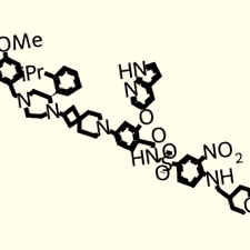 COc1ccc(CN2CCN(C3CC4(CCN(c5ccc(C(=O)NS(=O)(=O)c6ccc(NCC7CCOCC7)c([N+](=O)[O-])c6)c(Oc6cnc7[nH]ccc7c6)c5)CC4)C3)[C@@H](c3ccccc3C(C)C)C2)cc1